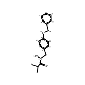 CC(C)C(=O)N(O)Cc1ccc(OCc2ccccc2)cc1